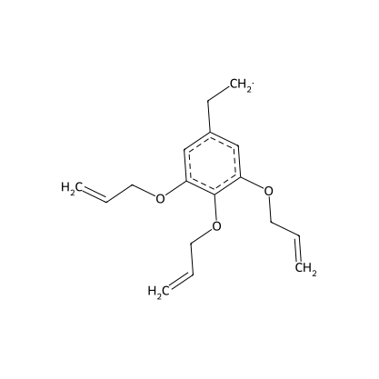 [CH2]Cc1cc(OCC=C)c(OCC=C)c(OCC=C)c1